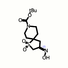 CC(C)(C)OC(=O)N1CCC2(CC1)C/C(=N/O)CS2(=O)=O